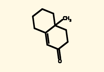 CC12CCCCC1=CC(=O)CC2